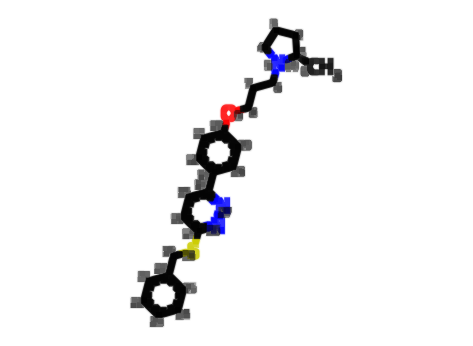 C[C@@H]1CCCN1CCCOc1ccc(-c2ccc(SCc3ccccc3)nn2)cc1